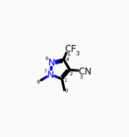 Cc1c(C#N)c(C(F)(F)F)nn1C